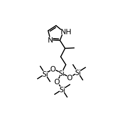 CC(CC[Si](O[Si](C)(C)C)(O[Si](C)(C)C)O[Si](C)(C)C)c1ncc[nH]1